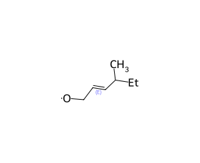 CCC(C)/C=C/C[O]